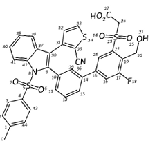 Cc1ccc(S(=O)(=O)n2c(-c3cccc(-c4cc(F)c(CO)c(S(=O)(=O)CC(=O)O)c4)c3)c(-c3ccsc3C#N)c3ccccc32)cc1